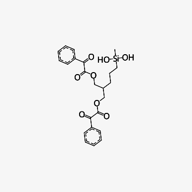 C[Si](O)(O)CCCC(COC(=O)C(=O)c1ccccc1)COC(=O)C(=O)c1ccccc1